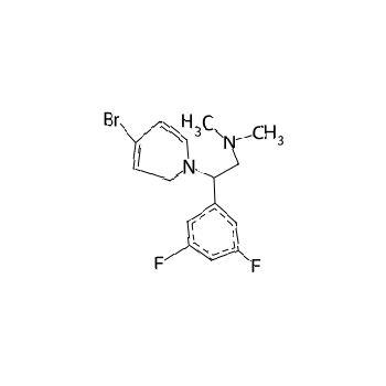 CN(C)CC(c1cc(F)cc(F)c1)N1C=CC(Br)=CC1